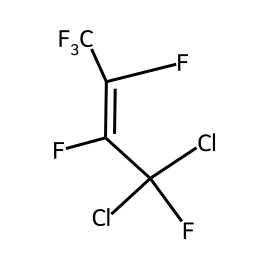 FC(=C(F)C(F)(Cl)Cl)C(F)(F)F